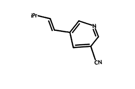 CC(C)/C=C/c1cncc(C#N)c1